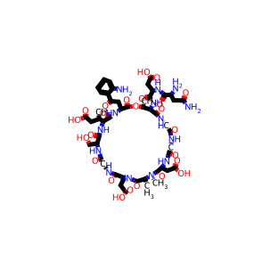 CC(CC(=O)O)C1NC(=O)C(CO)NC(=O)CNC(=O)C(CC(=O)O)NC(=O)C(C)N(C)C(=O)C(CC(=O)O)NC(=O)CNC(=O)CNC(=O)C(NC(=O)C(CC(=O)O)NC(=O)C(N)CC(N)=O)C(C)OC(=O)C(CC(=O)c2ccccc2N)NC1=O